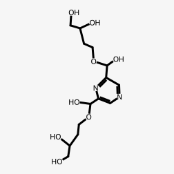 OCC(O)CCOC(O)c1cncc(C(O)OCCC(O)CO)n1